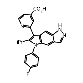 CC(C)c1c(-c2cc(C(=O)O)ccn2)c2cc3[nH]ncc3cc2n1-c1ccc(F)cc1